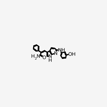 NC(=O)C(=Cc1c[nH]c2nc(Nc3cccc(O)c3)ccc12)c1ccccc1